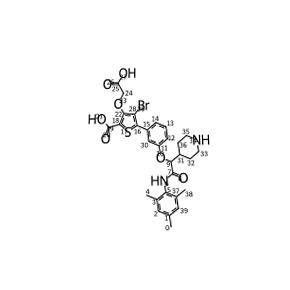 Cc1cc(C)c(NC(=O)C(Oc2cccc(-c3sc(C(=O)O)c(OCC(=O)O)c3Br)c2)C2CCNCC2)c(C)c1